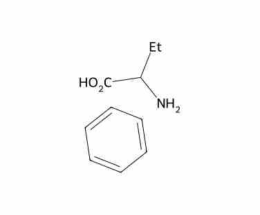 CCC(N)C(=O)O.c1ccccc1